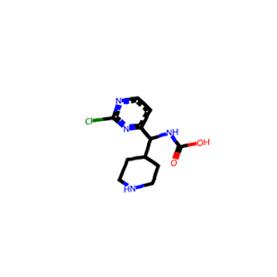 O=C(O)NC(c1ccnc(Cl)n1)C1CCNCC1